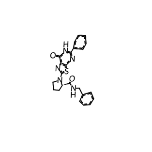 O=C(NCc1ccccc1)[C@H]1CCCN1c1nc2c(=O)[nH]c(-c3ccccc3)nc2s1